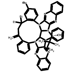 C=CC(C)(C)[C@@H](C)N1c2nc3ccccc3nc2N2c3ccc(C(C)(C)C)cc3C(CC)(CC)CC(=C)c3ccccc3N3c4nc5ccccc5nc4N(c4ccccc4)C3C21